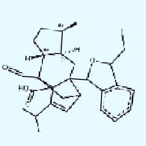 CC(C)C1=CC2CC3(C=O)[C@@H]4CC[C@@H](C)[C@H]4CC2(C2OC(CI)c4ccccc42)C13C(=O)O